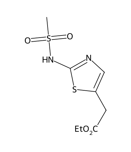 CCOC(=O)Cc1cnc(NS(C)(=O)=O)s1